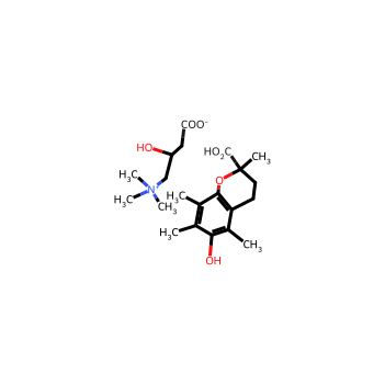 C[N+](C)(C)CC(O)CC(=O)[O-].Cc1c(C)c2c(c(C)c1O)CCC(C)(C(=O)O)O2